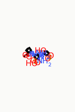 COC(=O)c1ccccc1/N=N/c1cc(S(=O)(=O)O)c(N)c(/N=N/c2cc(S(C)(=O)=O)ccc2O)c1N